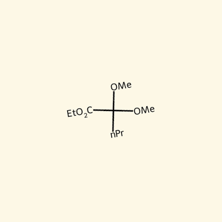 CCCC(OC)(OC)C(=O)OCC